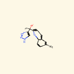 COc1ccc2nc(C(O)(c3c[nH]nn3)C(C)C)ccc2c1